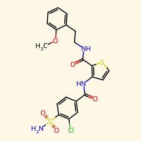 COc1ccccc1CCNC(=O)c1sccc1NC(=O)c1ccc(S(N)(=O)=O)c(Cl)c1